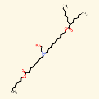 CCCCCCOC(=O)CCCCCCCN(CCO)CCCCCCCCCOC(=O)C(CCCCC)CCCCCC